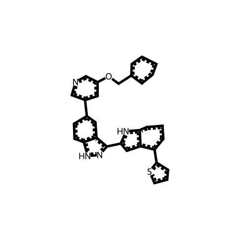 c1ccc(COc2cncc(-c3ccc4[nH]nc(-c5cc6c(-c7cccs7)cccc6[nH]5)c4c3)c2)cc1